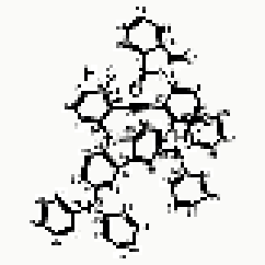 Cc1cccc(N2C(=O)c3ccccc3C2=O)c1C#Cc1c(C)cccc1-n1c2ccc(N(c3ccccc3)c3ccccc3)cc2c2cc(N(c3ccccc3)c3ccccc3)ccc21